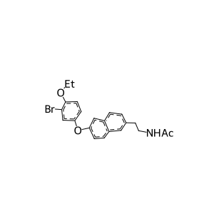 CCOc1ccc(Oc2ccc3cc(CCNC(C)=O)ccc3c2)cc1Br